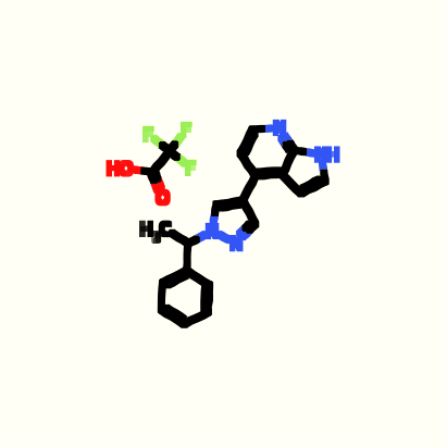 CC(c1ccccc1)n1cc(-c2ccnc3[nH]ccc23)cn1.O=C(O)C(F)(F)F